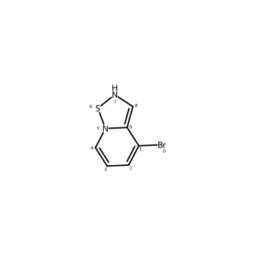 BrC1=CC=CN2SNC=C12